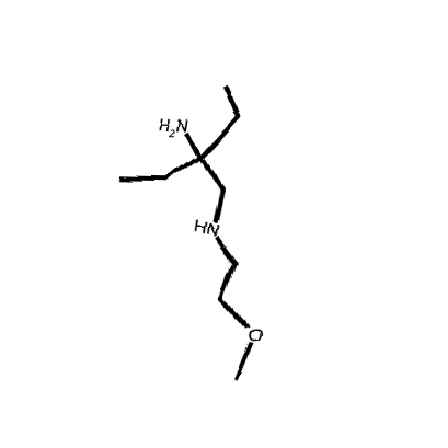 CCC(N)(CC)CNCCOC